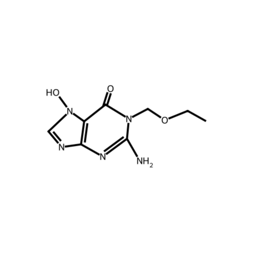 CCOCn1c(N)nc2ncn(O)c2c1=O